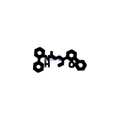 C=C/C(=C\C=C(/C)Nc1ccccc1-c1ccccc1)c1cccc2c1oc1ccccc12